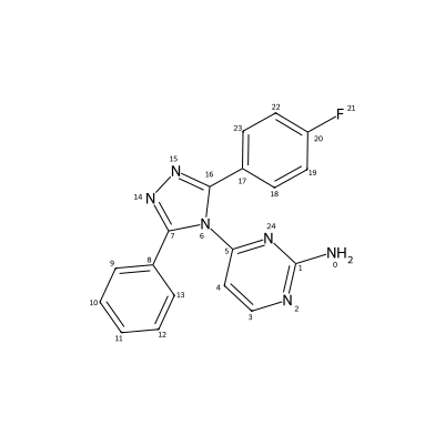 Nc1nccc(-n2c(-c3ccccc3)nnc2-c2ccc(F)cc2)n1